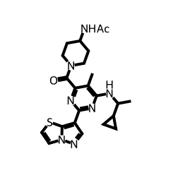 CC(=O)NC1CCN(C(=O)c2nc(-c3cnn4ccsc34)nc(NC(C)C3CC3)c2C)CC1